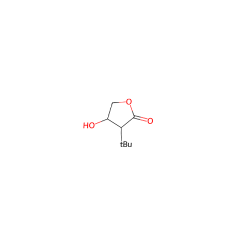 CC(C)(C)C1C(=O)OCC1O